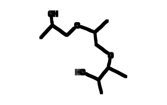 CC(O)COC(C)COC(C)C(C)O